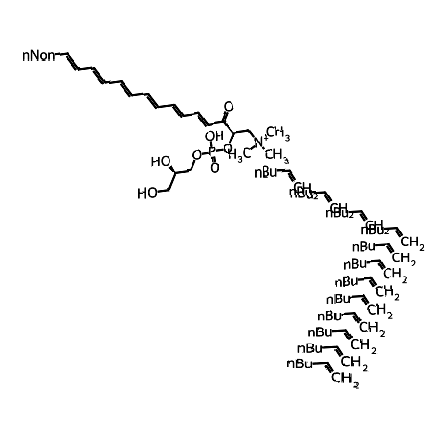 C=CCCCC.C=CCCCC.C=CCCCC.C=CCCCC.C=CCCCC.C=CCCCC.C=CCCCC.C=CCCCC.C=CCCCC.C=CCCCC.C=CCCCC.C=CCCCC.CCCCCCCCCC=CC=CC=CC=CC=CC=CC(=O)C(C[N+](C)(C)C)OP(=O)(O)OC[C@H](O)CO